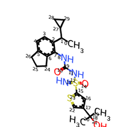 CC(c1ccc2c(c1NC(=O)NS(=N)(=O)c1cc(C(C)(C)O)cs1)CCC2)C1CC1